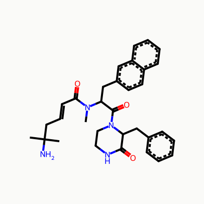 CN(C(=O)/C=C/CC(C)(C)N)C(Cc1ccc2ccccc2c1)C(=O)N1CCNC(=O)C1Cc1ccccc1